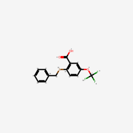 O=C(O)c1cc(OC(F)(F)F)ccc1SCc1ccccc1